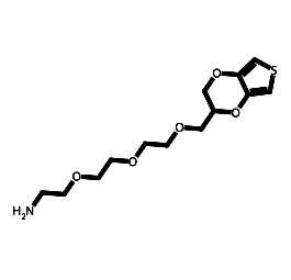 NCCOCCOCCOCC1COc2cscc2O1